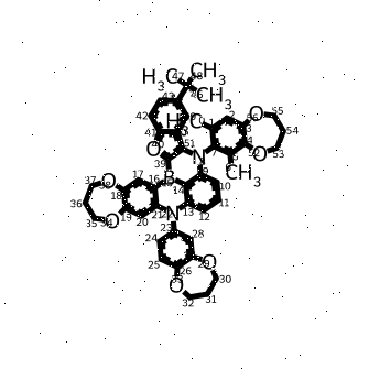 Cc1cc2c(c(C)c1N1c3cccc4c3B(c3cc5c(cc3N4c3ccc4c(c3)OCCCO4)OCCCO5)c3oc4ccc(C(C)(C)C)cc4c31)OCCCO2